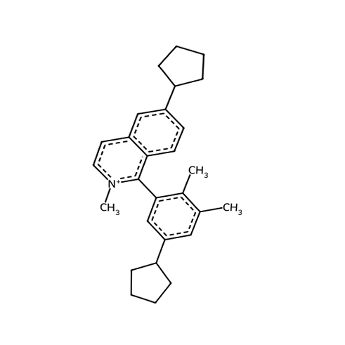 Cc1cc(C2CCCC2)cc(-c2c3ccc(C4CCCC4)cc3cc[n+]2C)c1C